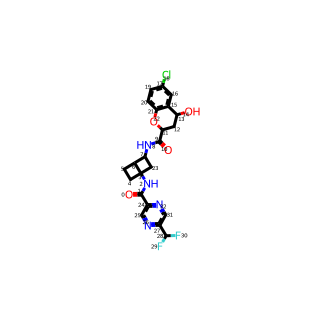 O=C(NC12CCC1C(NC(=O)C1CC(O)c3cc(Cl)ccc3O1)C2)c1cnc(C(F)F)cn1